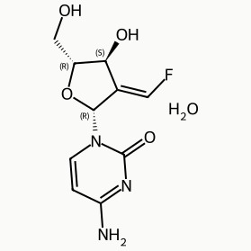 Nc1ccn([C@@H]2O[C@H](CO)[C@@H](O)C2=CF)c(=O)n1.O